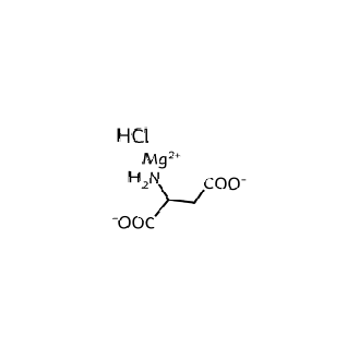 Cl.NC(CC(=O)[O-])C(=O)[O-].[Mg+2]